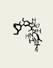 CCc1ccc(C)c(C2C=C3C(=CC2CC)NC(=O)/C3=C(/C)NC(=N)/C=C(/C)NC(C)(C)C#N)c1